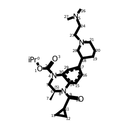 CC(C)OC(=O)N1C[C@H](C)N(C(=O)C2CC2)c2ccc(C3CCCN(CCN(C)C)C3)cc21